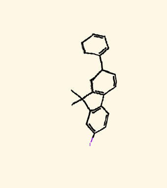 CC1(C)C2=C(C=CC(C3=CC=CCC3)C2)c2ccc(I)cc21